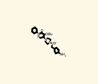 CC(C)COc1c(N2CCN([S+]([O-])Cc3ccc(N)cc3)CC2)cnn(-c2ccccc2)c1=O